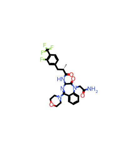 C[C@@H](Cc1ccc(C(F)(F)F)c(F)c1)C(=O)NC1N=C(N2CCOCC2)c2ccccc2N(CC(N)=O)C1=O